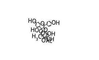 CC(=O)O[C@@H]1[C@@H](O)[C@@H](O)[C@H](Oc2c(-c3ccc(O)cc3)oc3cc(O)cc(O)c3c2=O)O[C@H]1C